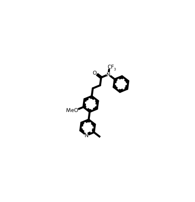 COc1cc(CCC(=O)N(c2ccccc2)C(F)(F)F)ccc1-c1ccnc(C)c1